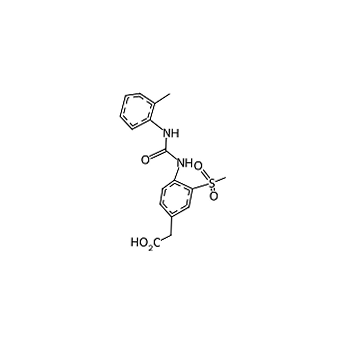 Cc1ccccc1NC(=O)Nc1ccc(CC(=O)O)cc1S(C)(=O)=O